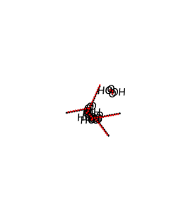 CCCCCCCCCCCCCCCCCC(=O)OC[C@H](CO[P@](=O)(O)OCC(O)CO[P@@](=O)(O)OC[C@@H](COC(=O)CCCCCCCCCCCCCCCCC)OC(=O)CCCCCCCCCCCCCCCCC)OC(=O)CCCCCCCCCCCCCCCCC.O=C(O)CCC(=O)O